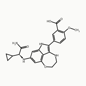 COc1ccc(-c2[nH]c3cc(N[C@H](C(N)=O)C4CC4)cc4c3c2NCCO4)cc1C(=O)O